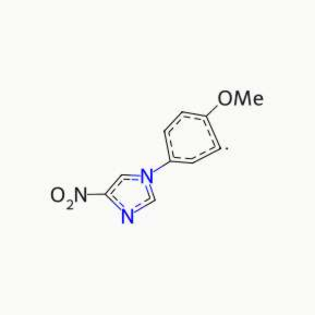 COc1[c]cc(-n2cnc([N+](=O)[O-])c2)cc1